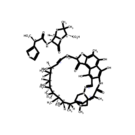 CC1(C)S[C@@H]2[C@H](NC(=O)[C@H](C(=O)O)c3ccsc3)C(=O)N2[C@H]1C(=O)O.CO[C@H]1/C=C/O[C@@]2(C)Oc3c(C)c(O)c4c(O)c(c(/C=N/N5CCN(C)CC5)c(O)c4c3C2=O)NC(=O)/C(C)=C\C=C\[C@H](C)[C@H](O)[C@@H](C)[C@@H](O)[C@@H](C)[C@H](OC(C)=O)[C@@H]1C